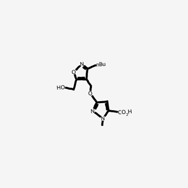 CCCCc1noc(CO)c1COc1cc(C(=O)O)n(C)n1